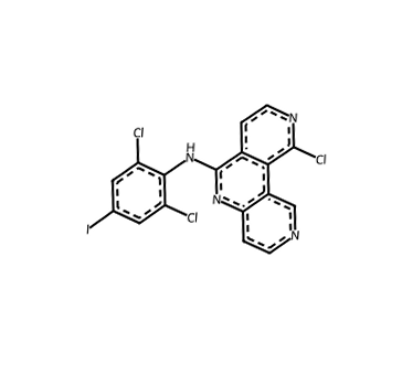 Clc1cc(I)cc(Cl)c1Nc1nc2ccncc2c2c(Cl)nccc12